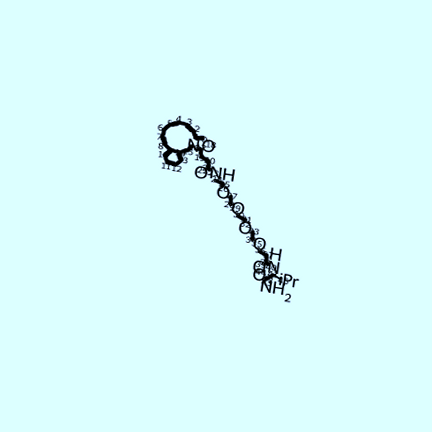 C=C1/C=C\C=C/C/C=C\c2ccccc2CN1C(=O)CCC(=O)NCCOCCOCCOCCOCCC(=O)N[C@H](C(N)=O)C(C)C